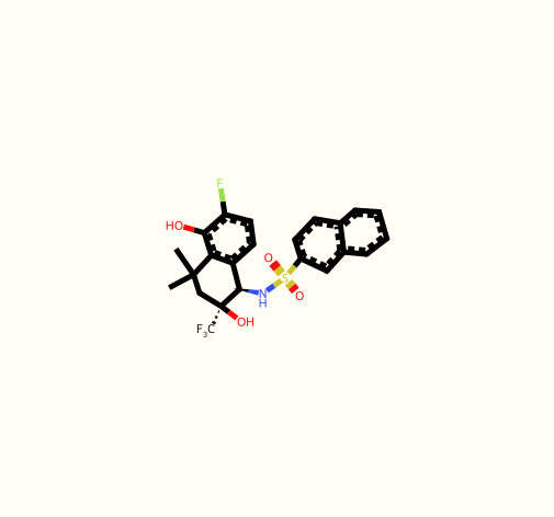 CC1(C)C[C@@](O)(C(F)(F)F)[C@H](NS(=O)(=O)c2ccc3ccccc3c2)c2ccc(F)c(O)c21